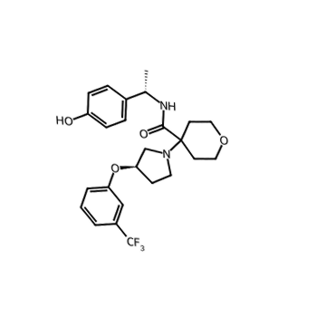 C[C@H](NC(=O)C1(N2CC[C@@H](Oc3cccc(C(F)(F)F)c3)C2)CCOCC1)c1ccc(O)cc1